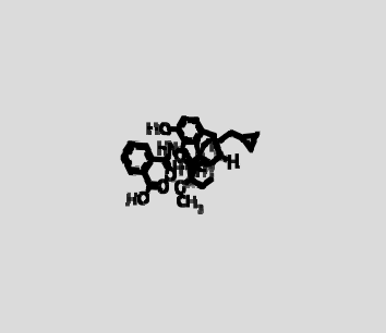 CO[C@]12CC[C@@]3(C[C@@H]1CNC(=O)c1ccccc1C(=O)O)[C@H]1Cc4ccc(O)c5c4[C@@]3(CCN1CC1CC1)[C@H]2O5